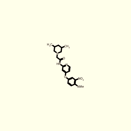 CNc1ccc(Oc2ccnc(NC(=O)CN3CC(C)CC(C)C3)c2)cc1[N+](=O)[O-]